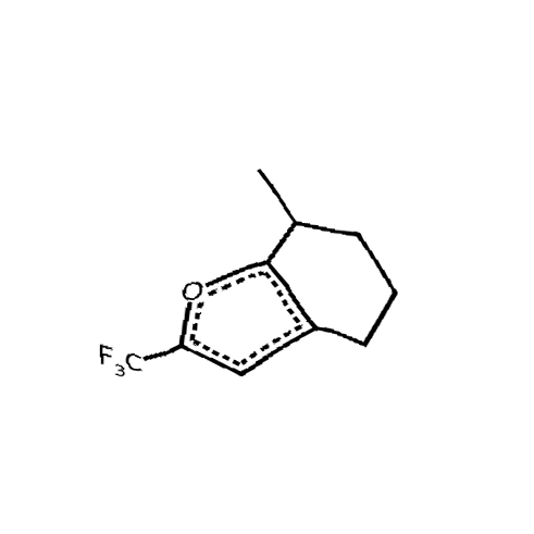 CC1CCCc2cc(C(F)(F)F)oc21